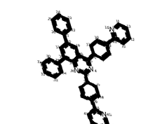 C1=CC(c2nc(C3C=CC(c4ccccn4)=CC3)c3cc(-c4ccccc4)cc(-c4ccccc4)c3n2)CC=C1c1ccccn1